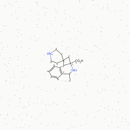 CC(NC1(C(=O)O)CC2(CCNCC2)C1)c1ccccc1